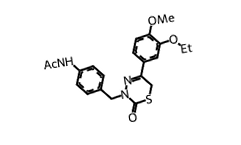 CCOc1cc(C2=NN(Cc3ccc(NC(C)=O)cc3)C(=O)SC2)ccc1OC